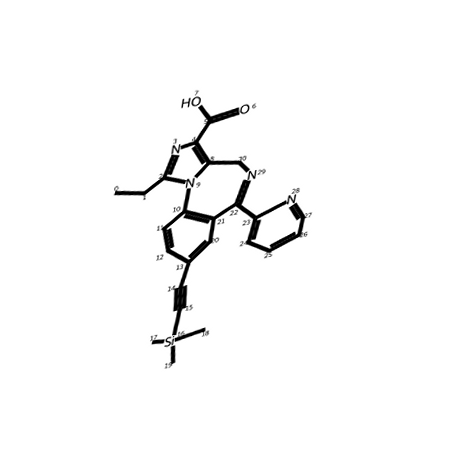 CCc1nc(C(=O)O)c2n1-c1ccc(C#C[Si](C)(C)C)cc1C(c1ccccn1)=NC2